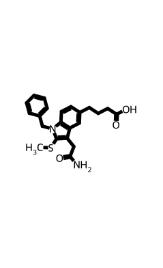 CSc1c(CC(N)=O)c2cc(CCCC(=O)O)ccc2n1Cc1ccccc1